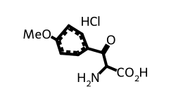 COc1ccc(C(=O)C(N)C(=O)O)cc1.Cl